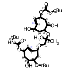 CC(C)(C)NC(=O)OC1/C=C/C(OCC(C)(C)OC2CC(O)/C=C/C(OC(=O)SC(C)(C)C)CC2O)CC(OC(C)(C)C)C(O)C1